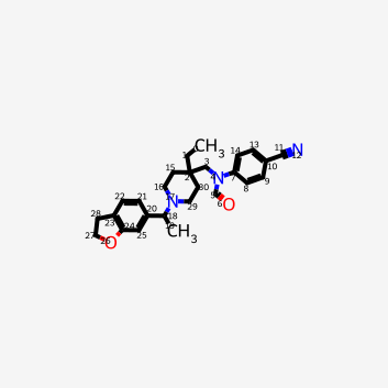 CCC1(CN(C=O)c2ccc(C#N)cc2)CCN(C(C)c2ccc3c(c2)OCC3)CC1